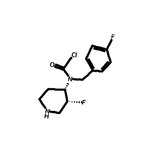 O=C(Cl)N(Cc1ccc(F)cc1)[C@H]1CCNC[C@H]1F